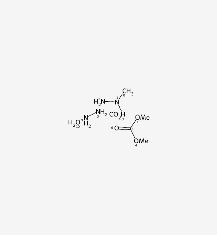 CN(N)C(=O)O.COC(=O)OC.NN.O